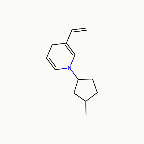 C=CC1=CN(C2CCC(C)C2)C=CC1